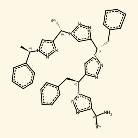 CC(C)[C@H](N)c1cn([C@@H](Cc2ccccc2)c2cn([C@@H](Cc3ccccc3)c3cn([C@H](c4cn([C@H](C)c5ccccc5)nn4)C(C)C)nn3)nn2)nn1